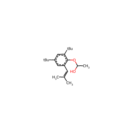 CC(C)=Cc1cc(C(C)(C)C)cc(C(C)(C)C)c1OC(C)O